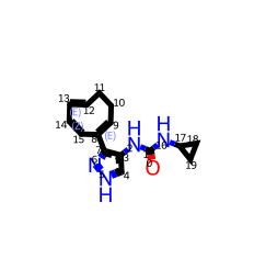 O=C(Nc1c[nH]nc1C1=C/CC/C=C/C=C\1)NC1CC1